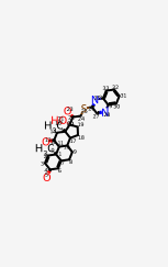 CC12C=CC(=O)C=C1CCC1C2C(=O)CC2(C)C1CC[C@]2(O)C(=O)CSc1cnc2ccccc2n1